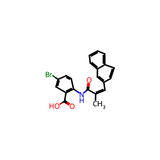 CC(=Cc1ccc2ccccc2c1)C(=O)Nc1ccc(Br)cc1C(=O)O